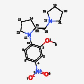 COc1cc([N+](=O)[O-])ccc1N1CCC[C@H]1CN1CCCC1